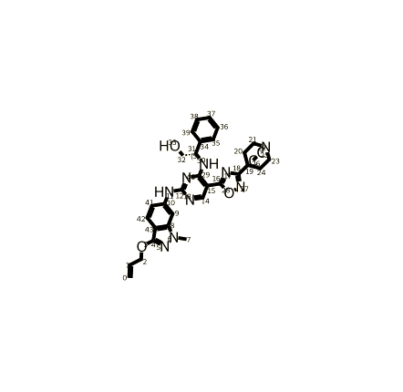 C=CCOc1nn(C)c2cc(Nc3ncc(-c4nc(C56CCN(CC5)CC6)no4)c(N[C@H](CO)c4ccccc4)n3)ccc12